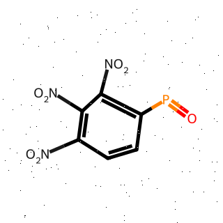 O=Pc1ccc([N+](=O)[O-])c([N+](=O)[O-])c1[N+](=O)[O-]